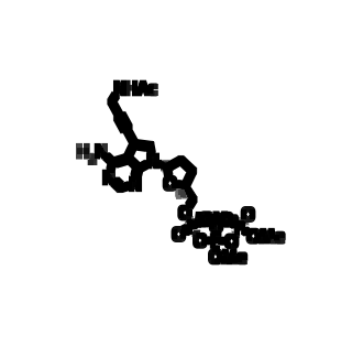 COP(=O)(OC)OP(=O)(OC)OP(=O)(OC)OC[C@@H]1CC[C@H](n2cc(C#CCNC(C)=O)c3c(N)ncnc32)O1